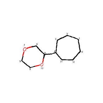 C1CCC[C](C2COCCO2)CC1